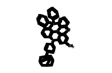 Cc1cc2c3c(c1)N(c1ccc(C45CC6CC(CC(C6)C4)C5)cc1)c1cccc4c1B3c1c(cccc1[Si]4(c1ccccc1)c1ccccc1)O2